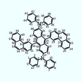 c1ccc(N(c2ccccc2)c2ccc3c(-c4ccc5ccc6ccccc6c5c4)c4cc(N(c5ccccc5)c5ccccc5)ccc4c(-c4ccc5ccc6ccccc6c5c4)c3c2)cc1